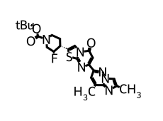 Cc1cn2nc(-c3cc(=O)n4cc([C@H]5CCN(C(=O)OC(C)(C)C)C[C@@H]5F)sc4n3)cc(C)c2n1